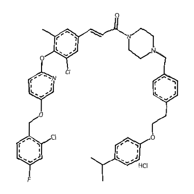 Cc1cc(C=CC(=O)N2CCN(Cc3ccc(CCOc4ccc(C(C)C)cc4)cc3)CC2)cc(Cl)c1Oc1ccc(OCc2ccc(F)cc2Cl)cn1.Cl